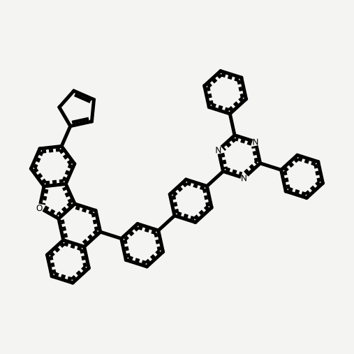 C1=CCC(c2ccc3oc4c5ccccc5c(-c5cccc(-c6ccc(-c7nc(-c8ccccc8)nc(-c8ccccc8)n7)cc6)c5)cc4c3c2)=C1